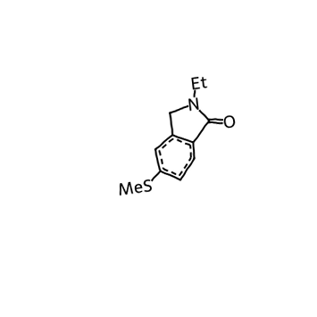 CCN1Cc2cc(SC)ccc2C1=O